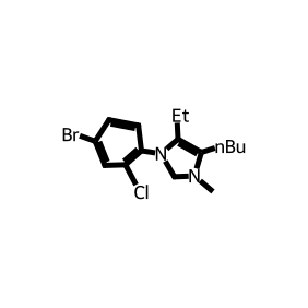 CCCCC1=C(CC)N(c2ccc(Br)cc2Cl)CN1C